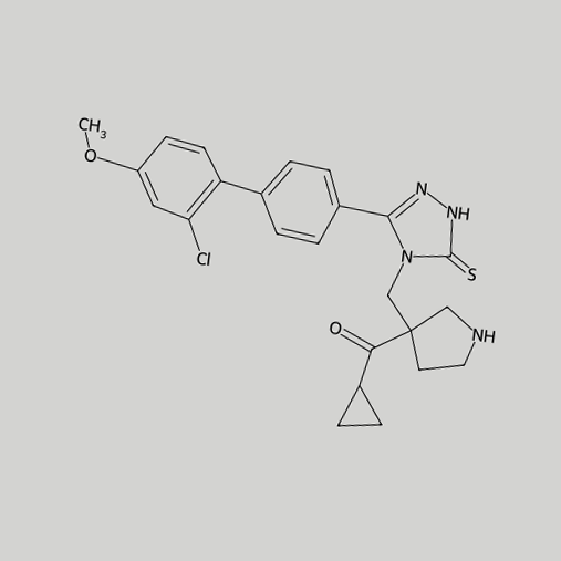 COc1ccc(-c2ccc(-c3n[nH]c(=S)n3CC3(C(=O)C4CC4)CCNC3)cc2)c(Cl)c1